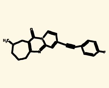 CN1CCCc2nc3cc(C#Cc4ccc(F)cc4)ccn3c(=O)c2C1